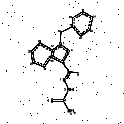 CC(=NNC(N)=S)c1cn(Cc2ccccc2)c2ccccc12